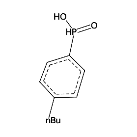 CCCCc1ccc([PH](=O)O)cc1